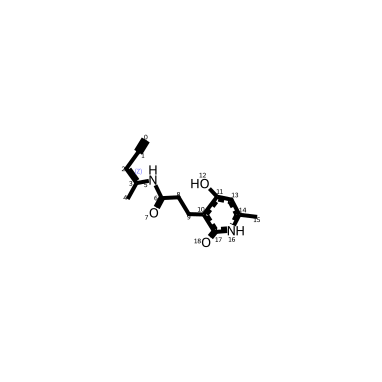 C#C/C=C(/C)NC(=O)CCc1c(O)cc(C)[nH]c1=O